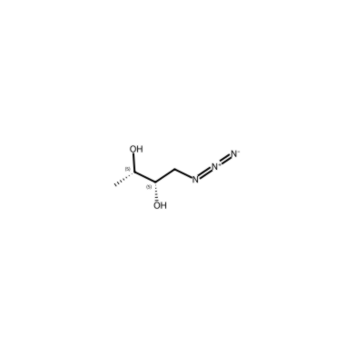 C[C@H](O)[C@@H](O)CN=[N+]=[N-]